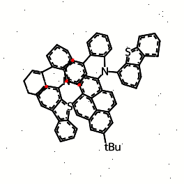 CC(C)(C)c1cc2ccc3c(N(c4ccccc4C4=CCCC=C4)c4cccc5c4sc4ccccc45)cc(N(c4ccccc4-c4ccccc4)c4cccc5c4sc4ccccc45)c4ccc(c1)c2c34